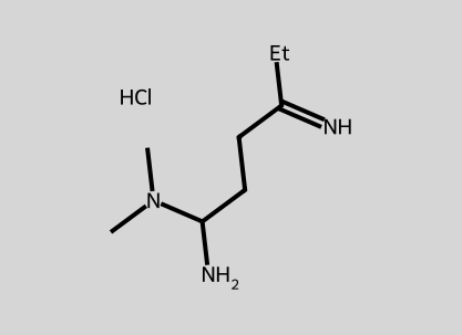 CCC(=N)CCC(N)N(C)C.Cl